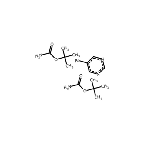 Brc1cncnc1.CC(C)(C)OC(N)=O.CC(C)(C)OC(N)=O